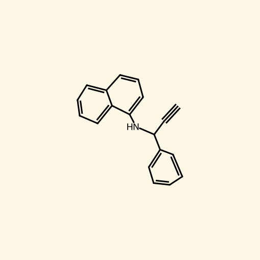 C#CC(Nc1cccc2ccccc12)c1ccccc1